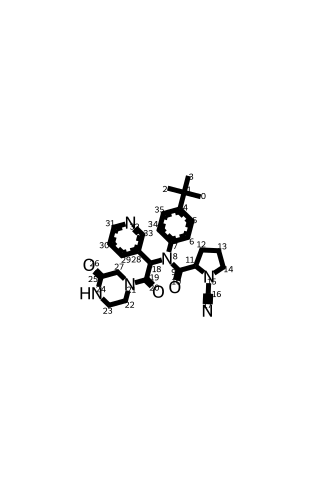 CC(C)(C)c1ccc(N(C(=O)C2CCCN2C#N)C(C(=O)N2CCNC(=O)C2)c2cccnc2)cc1